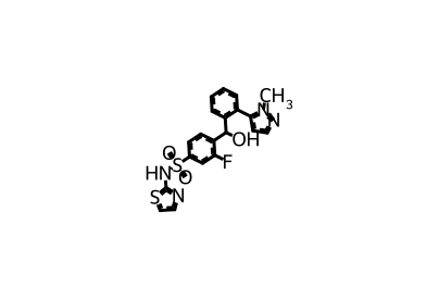 Cn1nccc1-c1ccccc1C(O)c1ccc(S(=O)(=O)Nc2nccs2)cc1F